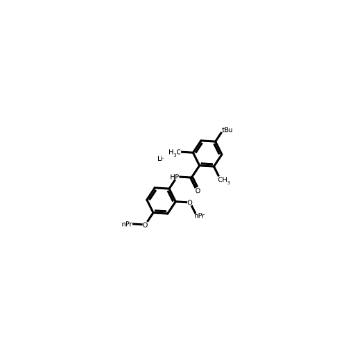 CCCOc1ccc(PC(=O)c2c(C)cc(C(C)(C)C)cc2C)c(OCCC)c1.[Li]